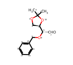 CC1(C)OC[C@H]([C@H](C=O)OCc2ccccc2)O1